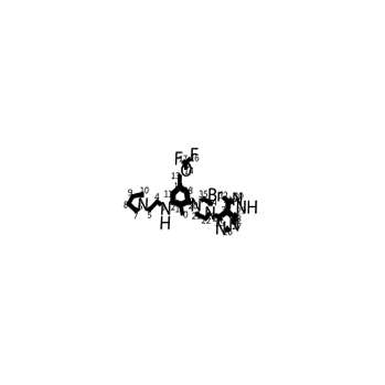 Cc1c(NCCN2CCCC2)cc(COC(F)F)cc1N1CCN(c2ncnc3[nH]nc(Br)c23)CC1